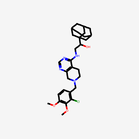 COc1ccc(CN2CCc3c(ncnc3NCC(O)C34CC5CC(CC(C5)C3)C4)C2)c(Cl)c1OC